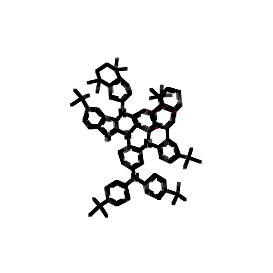 Cc1cccc(C)c1-c1cc2c3c(c1)N(c1ccc4c(c1)C(C)(C)CCC4(C)C)c1c(sc4ccc(C(C)(C)C)cc14)B3c1ccc(N(c3ccc(C(C)(C)C)cc3)c3ccc(C(C)(C)C)cc3)cc1N2c1ccc(C(C)(C)C)cc1-c1ccc(C(C)(C)C)cc1